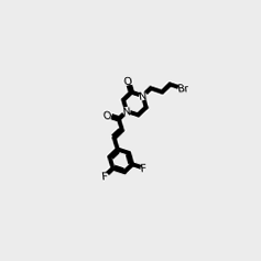 O=C(C=Cc1cc(F)cc(F)c1)N1CCN(CCCBr)C(=O)C1